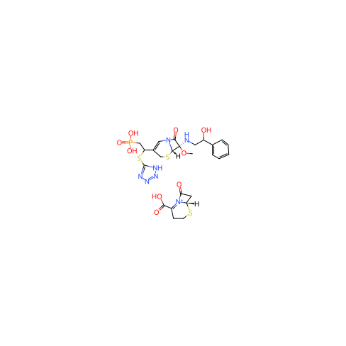 CO[C@]1(NCC(O)c2ccccc2)C(=O)N2C=C(C(CP(=O)(O)O)Sc3nnn[nH]3)CS[C@H]21.O=C(O)C1=[N+]2C(=O)C[C@@H]2SCC1